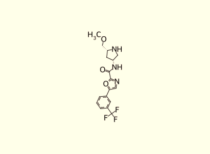 COC[C@H]1C[C@@H](NC(=O)c2ncc(-c3cccc(C(F)(F)F)c3)o2)CN1